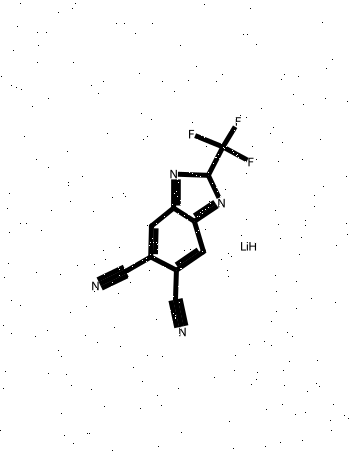 N#Cc1cc2c(cc1C#N)=NC(C(F)(F)F)N=2.[LiH]